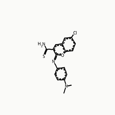 CN(C)c1ccc(/N=c2\oc3ccc(Cl)cc3cc2C(N)=S)cc1